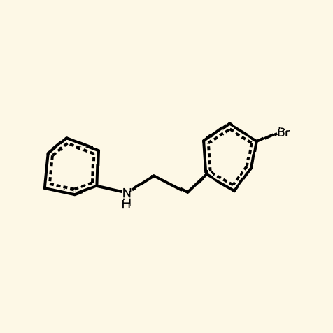 Brc1ccc(CCNc2ccccc2)cc1